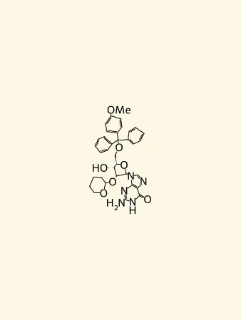 COc1ccc(C(OC[C@H]2O[C@@H](n3cnc4c(=O)[nH]c(N)nc43)[C@H](OC3CCCCO3)[C@@H]2O)(c2ccccc2)c2ccccc2)cc1